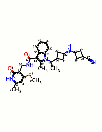 CSc1cc(C)[nH]c(=O)c1CNC(=O)c1c(C)n([C@H](C)C2CC(NC3CC(C#N)C3)C2)c2ccccc12